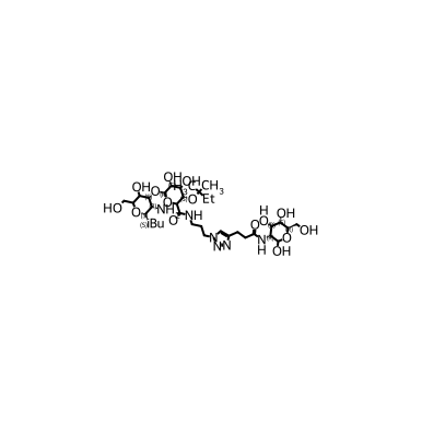 CC[C@H](C)[C@@H]1OC(CO)C(O)[C@@H](O[C@@H]2OC(C(=O)NCCCn3cc(CCC(=O)N[C@H]4C(O)O[C@H](CO)[C@@H](O)[C@@H]4O)nn3)[C@@H](OC(C)(C)CC)C(O)[C@@H]2O)[C@@H]1N